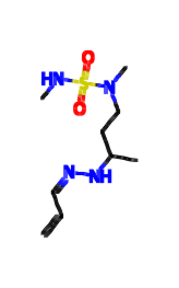 C=C/C=N\NC(C)CCN(C)S(=O)(=O)NC